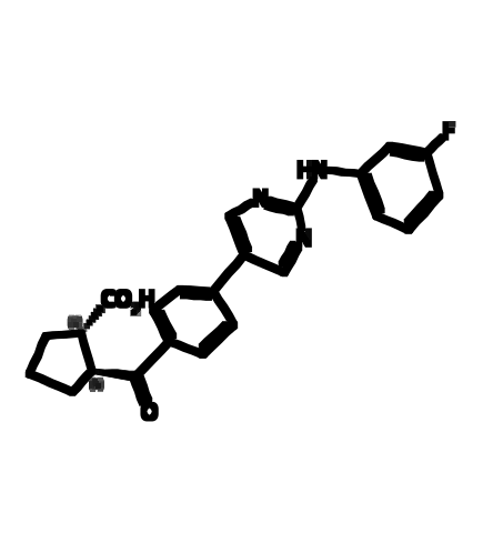 O=C(O)[C@H]1CCC[C@@H]1C(=O)c1ccc(-c2cnc(Nc3cccc(F)c3)nc2)cc1